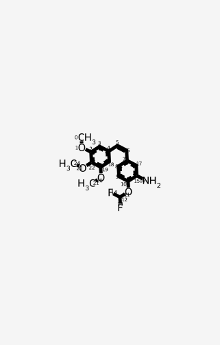 COc1cc(/C=C\c2ccc(OC(F)F)c(N)c2)cc(OC)c1OC